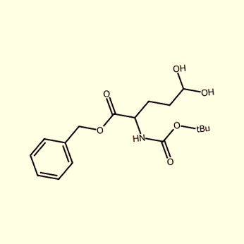 CC(C)(C)OC(=O)NC(CCC(O)O)C(=O)OCc1ccccc1